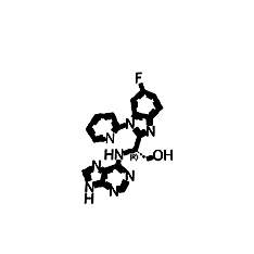 OC[C@H](Nc1ncnc2[nH]cnc12)c1nc2ccc(F)cc2n1-c1ccccn1